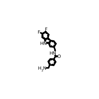 NCc1ccc(C(=O)NCc2ccc3c(c2)[nH]c2cc(F)c(F)cc23)cc1